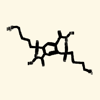 CCCCCS(=O)(=O)c1cc(C(=O)NO)c(S(=O)(=O)CCCCC)cc1C(=O)NO